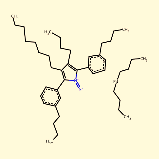 CCCCCCCCC1=C(c2cccc(CCCC)c2)[N+](=[N-])C(c2cccc(CCCC)c2)=C1CCCC.CCC[CH2][Pd][CH2]CCC